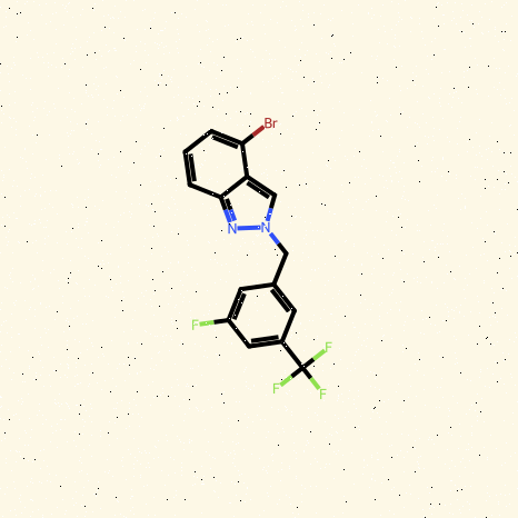 Fc1cc(Cn2cc3c(Br)cccc3n2)cc(C(F)(F)F)c1